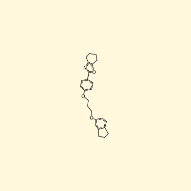 [CH]1Cc2ccc(OCCCOc3ccc(-c4nc5c(o4)CCCC5)cc3)cc2C1